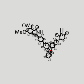 COc1cc(OC)c2c(=O)[nH]c(-c3ccc(N4CCC(CN5C6CCC5CN(c5ccc7c(c5)CN(C5CCC(=O)NC5=O)C7)C6)CC4)cc3)nc2c1